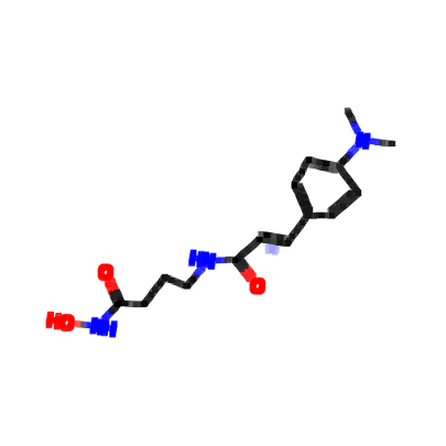 CN(C)c1ccc(/C=C/C(=O)NCCCC(=O)NO)cc1